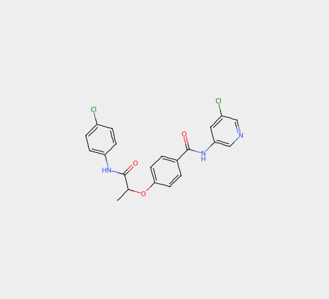 CC(Oc1ccc(C(=O)Nc2cncc(Cl)c2)cc1)C(=O)Nc1ccc(Cl)cc1